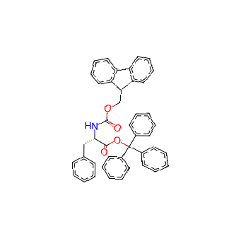 O=C(N[C@@H](Cc1ccccc1)C(=O)OC(c1ccccc1)(c1ccccc1)c1ccccc1)OCC1c2ccccc2-c2ccccc21